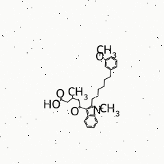 COc1cccc(CCCCCCc2c(C(=O)CC(C)CC(=O)O)c3ccccc3n2C)c1